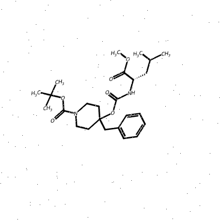 COC(=O)[C@H](CC(C)C)NC(=O)OC1(Cc2ccccc2)CCN(C(=O)OC(C)(C)C)CC1